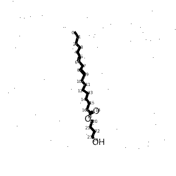 CCCCCC=CCC=CCCCCCCCC(=O)OCCCCO